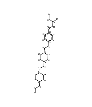 CCC[C@H]1CC[C@H](CC[C@H]2CC[C@H](CCc3ccc(OCC(C)CC)cc3)CC2)CC1